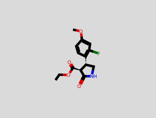 CCOC(=O)[C@@H]1C(=O)NC[C@H]1c1ccc(OC)cc1F